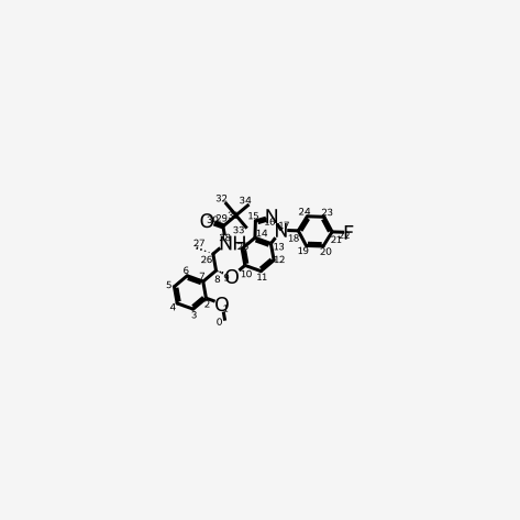 COc1ccccc1[C@@H](Oc1ccc2c(cnn2-c2ccc(F)cc2)c1)[C@H](C)NC(=O)C(C)(C)C